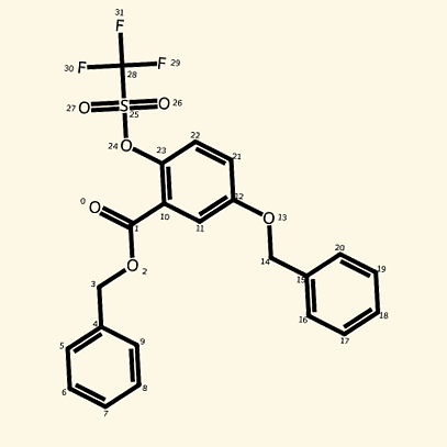 O=C(OCc1ccccc1)c1cc(OCc2ccccc2)ccc1OS(=O)(=O)C(F)(F)F